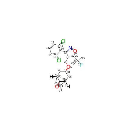 C[C@H]1C[C@@H]2C[C@@H](OCc3c(-c4c(Cl)cccc4Cl)noc3C(C)(C)F)C[C@H]1C2=O